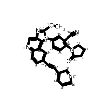 COc1nc2cnc3ccc(C#Cc4cccnc4)cc3c2n1-c1ccc(N2CCCC2=O)c(C#N)c1